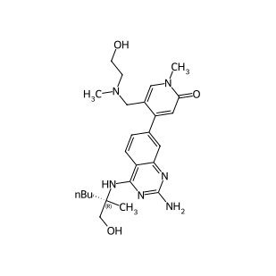 CCCC[C@](C)(CO)Nc1nc(N)nc2cc(-c3cc(=O)n(C)cc3CN(C)CCO)ccc12